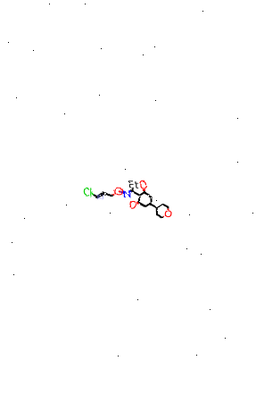 CCC(=NOC/C=C/Cl)C1C(=O)CC(C2CCOCC2)CC1=O